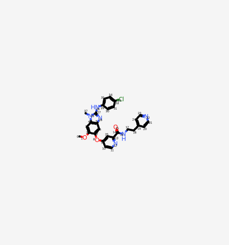 COc1cc2c(cc1Oc1ccnc(C(=O)NCCc3ccncc3)c1)nc(Nc1ccc(Cl)cc1)n2C